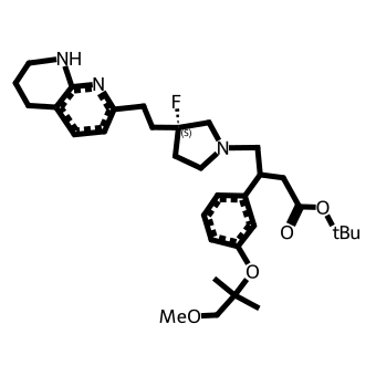 COCC(C)(C)Oc1cccc(C(CC(=O)OC(C)(C)C)CN2CC[C@@](F)(CCc3ccc4c(n3)NCCC4)C2)c1